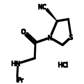 CC(C)NCC(=O)N1CSC[C@H]1C#N.Cl